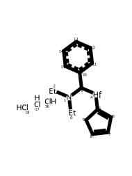 CCN(CC)[CH]([Hf][C]1=CC=CC1)c1ccccc1.Cl.Cl.Cl